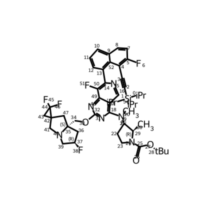 CC(C)[Si](C#Cc1c(F)ccc2cccc(-c3ncc4c(N(C)[C@@H]5CCN(C(=O)OC(C)(C)C)[C@@H]5C)nc(OC[C@]56C[C@@H](F)CN5CC5(CC5(F)F)C6)nc4c3F)c12)(C(C)C)C(C)C